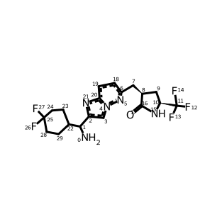 NC(c1cn2nc(C[C@H]3C[C@@H](C(F)(F)F)NC3=O)ccc2n1)C1CCC(F)(F)CC1